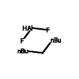 [CH2]CCCCCCCC.[F][AlH][F]